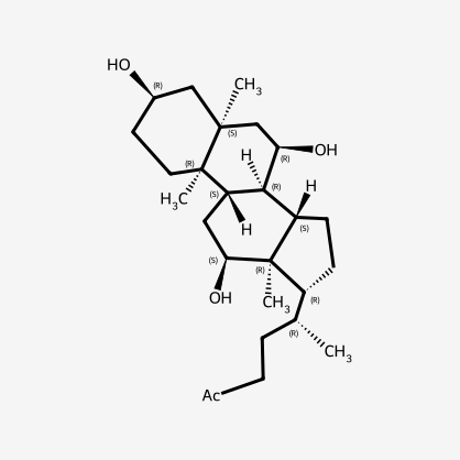 CC(=O)CC[C@@H](C)[C@H]1CC[C@H]2[C@@H]3[C@H](O)C[C@]4(C)C[C@H](O)CC[C@]4(C)[C@H]3C[C@H](O)[C@]12C